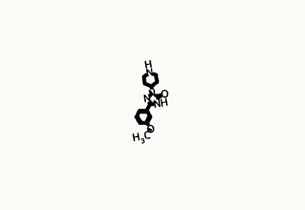 COc1cccc(-c2nn(C3CCNCC3)c(=O)[nH]2)c1